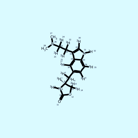 [2H]c1c(C([2H])([2H])[C@]2([2H])N([2H])C(=O)OC2([2H])[2H])c([2H])c2c(C([2H])([2H])C([2H])([2H])N(C)C)c([2H])n([2H])c2c1[2H]